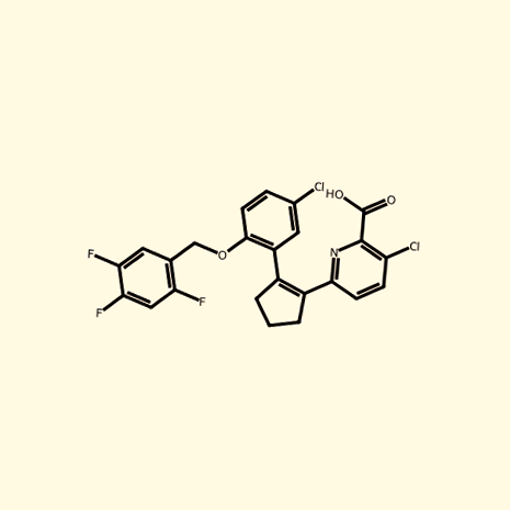 O=C(O)c1nc(C2=C(c3cc(Cl)ccc3OCc3cc(F)c(F)cc3F)CCC2)ccc1Cl